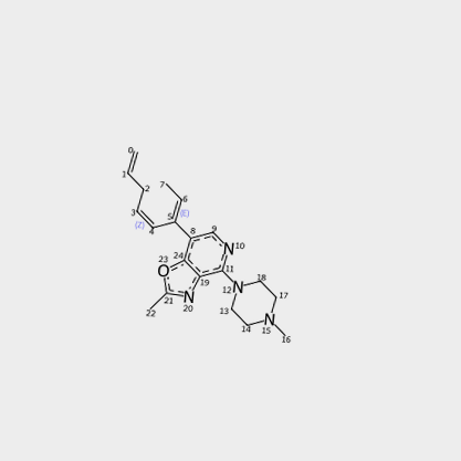 C=CC/C=C\C(=C/C)c1cnc(N2CCN(C)CC2)c2nc(C)oc12